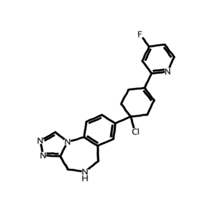 Fc1ccnc(C2=CCC(Cl)(c3ccc4c(c3)CNCc3nncn3-4)CC2)c1